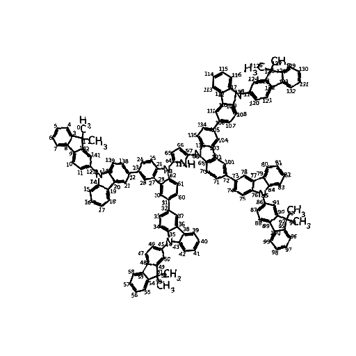 CC1(C)c2ccccc2-c2ccc(-n3c4ccccc4c4cc(-c5ccc6c(c5)c5cc(-c7ccc8c(c7)c7ccccc7n8-c7ccc8c(c7)C(C)(C)c7ccccc7-8)ccc5n6-c5ccc(-n6c7ccc(-c8ccc9c(c8)c8ccccc8n9-c8ccc9c(c8)C(C)(C)c8ccccc8-9)cc7c7cc(-c8ccc9c(c8)c8ccccc8n9-c8ccc9c(c8)C(C)(C)c8ccccc8-9)ccc76)[nH]5)ccc43)cc21